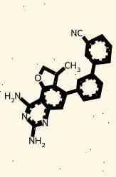 CC1COc2c1c(-c1cccc(-c3cccc(C#N)c3)c1)cc1nc(N)nc(N)c21